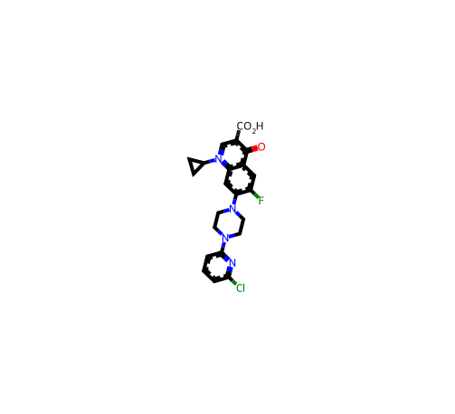 O=C(O)c1cn(C2CC2)c2cc(N3CCN(c4cccc(Cl)n4)CC3)c(F)cc2c1=O